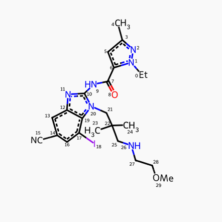 CCn1nc(C)cc1C(=O)Nc1nc2cc(C#N)cc(I)c2n1CC(C)(C)CNCCOC